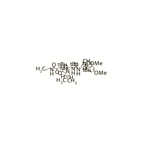 C=CCNC(=O)C(=O)C(CCCC)NC(=O)[C@@H]1[C@@H]2[C@H](CN1C(=O)[C@@H](NC(=O)N[C@H](CN(C)S(=O)(=O)c1ccc(OC)cc1OC)C(C)(C)C)C(C)(C)C)C2(C)C